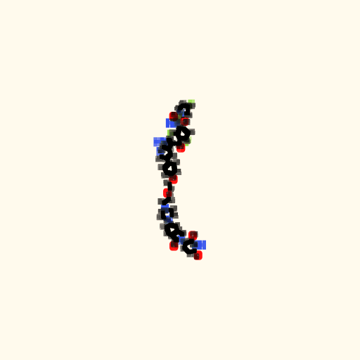 O=C1CCC(N2Cc3cc(N4CCN(CCOCCOc5ccc(-c6cnc7[nH]cc(C(=O)c8c(F)ccc(NS(=O)(=O)N9CC[C@@H](F)C9)c8F)c7c6)cc5)CC4)ccc3C2=O)C(=O)N1